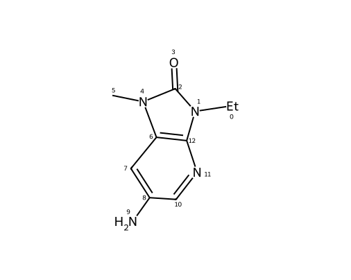 CCn1c(=O)n(C)c2cc(N)cnc21